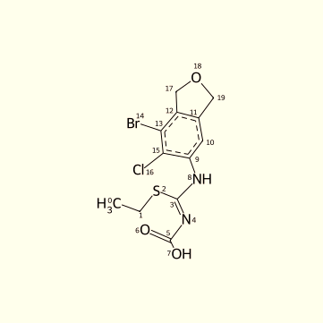 CCS/C(=N\C(=O)O)Nc1cc2c(c(Br)c1Cl)COC2